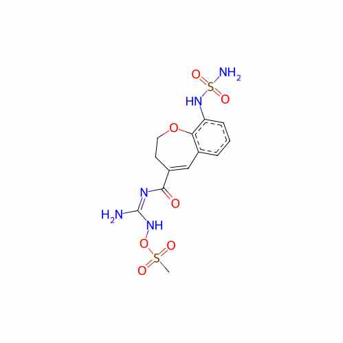 CS(=O)(=O)ONC(N)=NC(=O)C1=Cc2cccc(NS(N)(=O)=O)c2OCC1